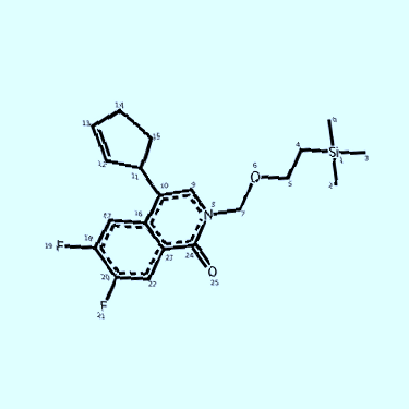 C[Si](C)(C)CCOCn1cc(C2C=CCC2)c2cc(F)c(F)cc2c1=O